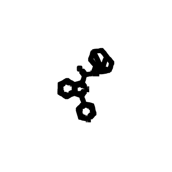 O=C(NC12CC3CC(CC(C3)C1)C2)c1nc(-c2ccncc2)c2ccccn12